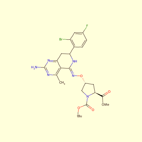 COC(=O)[C@@H]1C[C@@H](ON=C2NC(c3ccc(F)cc3Br)Cc3nc(N)nc(C)c32)CN1C(=O)OC(C)(C)C